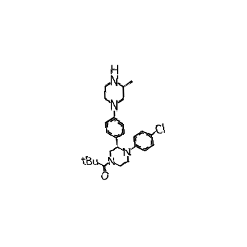 C[C@H]1CN(c2ccc([C@@H]3CN(C(=O)C(C)(C)C)CCN3c3ccc(Cl)cc3)cc2)CCN1